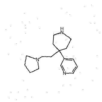 c1cncc(C2(CCN3CCCC3)CCNCC2)c1